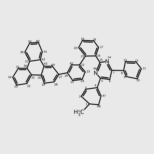 CC1C=CC(c2cc(-c3ccccc3)nc(-c3ccccc3-c3cccc(-c4ccc5c6ccccc6c6ccccc6c5c4)c3)n2)=CC1